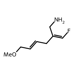 COCC=CCC(=CF)CN